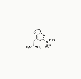 CCCCN(C=O)c1cc(CC(C)N)c2occc2c1.Cl